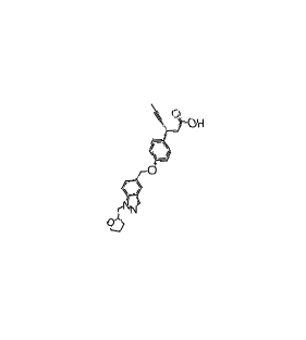 CC#C[C@@H](CC(=O)O)c1ccc(OCc2ccc3c(cnn3CC3CCCO3)c2)cc1